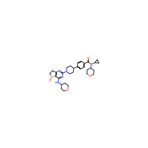 O=C(c1ccc(C2CCN(c3nc4c(c(NC5CCOCC5)n3)[S+]([O-])CC4)CC2)cc1)N(C1CCOCC1)C1CC1